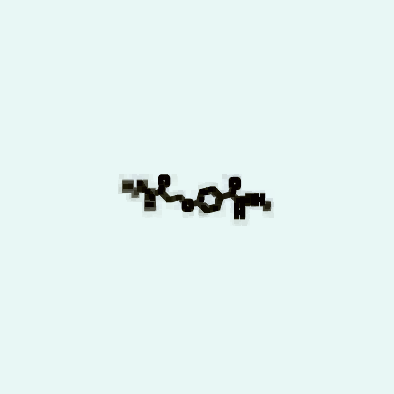 NNC(=O)CCOc1ccc(C(=O)NN)cc1